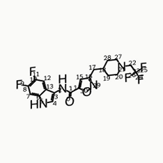 O=C(Nc1c[nH]c2cc(F)c(F)cc12)c1cc(CC2CCN(CC(F)(F)F)CC2)no1